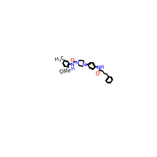 COc1ccc(C)cc1NC(=O)N1CCN(c2ccc(NC(=O)CCCc3ccccc3)cc2)CC1